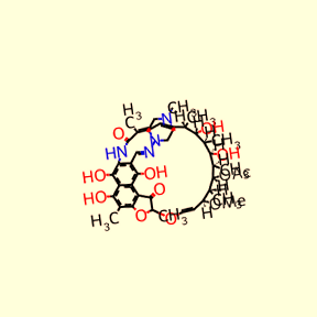 CO[C@H]1/C=C/O[C@@]2(C)Oc3c(C)c(O)c4c(O)c(c(/C=N/N5CCN(C)CC5)c(O)c4c3C2=O)NC(=O)/C(C)=C/C=C/[C@H](C)[C@H](O)[C@@H](C)[C@@H](O)[C@@H](C)[C@H](OC(C)=O)[C@@H]1C